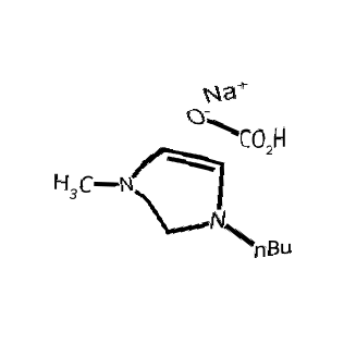 CCCCN1C=CN(C)C1.O=C([O-])O.[Na+]